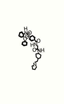 O=C(CNC(=O)c1ccc(S(=O)(=O)Nc2ccccc2Oc2ccccc2)cc1)NC1CCC(CCN2CCCC2)CC1